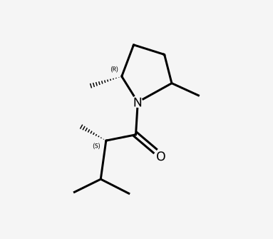 CC(C)[C@H](C)C(=O)N1C(C)CC[C@H]1C